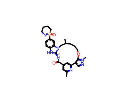 Cc1cc2cc(n1)-c1cnn(C)c1OCCCC(C)CN1/C(=N/C2=O)Nc2ccc(S3(=O)=NCCCC3)cc21